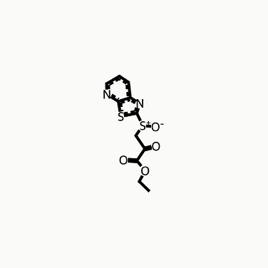 CCOC(=O)C(=O)C[S+]([O-])c1nc2cccnc2s1